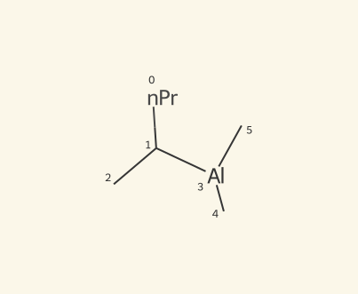 CCC[CH](C)[Al]([CH3])[CH3]